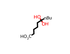 CCCCC(O)(O)CCCCC(=O)O